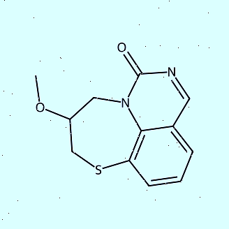 COC1CSc2cccc3cnc(=O)n(c23)C1